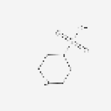 CC1CC(S(=O)(=O)O)CCO1